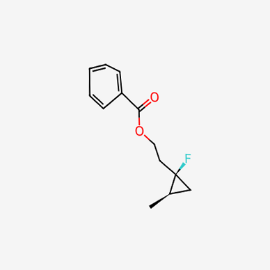 C[C@@H]1C[C@@]1(F)CCOC(=O)c1ccccc1